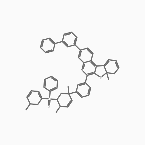 CC1C=CC=C(P(=O)(c2ccccc2)C2CC(C)(c3cccc(-c4nc5cc(-c6cccc(-c7ccccc7)c6)ccc5c5c4SC4(C)CC=CC=C54)c3)C=CC2C)C1